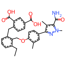 CCc1cccc(Cc2ccc(C(=O)O)cc2C(=O)O)c1COc1ccc(-c2nn(C)c(C(N)=O)c2C)cc1C